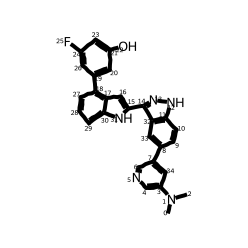 CN(C)c1cncc(-c2ccc3[nH]nc(-c4cc5c(-c6cc(O)cc(F)c6)cccc5[nH]4)c3c2)c1